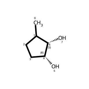 CC1CC[C@@H](O)[C@H]1O